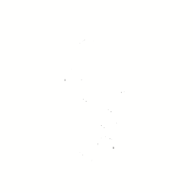 CCCCN(C(=O)Nc1cc(C(N)=O)c(F)cc1Cl)C1CCN(Cc2ccc(Oc3ccc(S(C)(=O)=O)cc3Cl)nc2)CC1.Cl